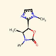 CC(C)N1C(=O)O[C@H](c2nccn2C)[C@@H]1C